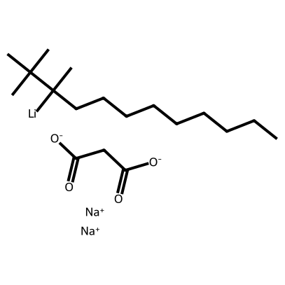 O=C([O-])CC(=O)[O-].[Li][C](C)(CCCCCCCCC)C(C)(C)C.[Na+].[Na+]